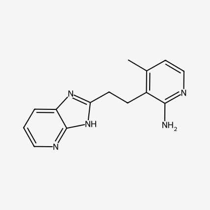 Cc1ccnc(N)c1CCc1nc2cccnc2[nH]1